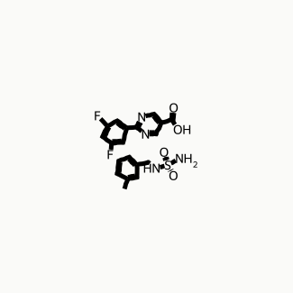 Cc1cccc(CNS(N)(=O)=O)c1.O=C(O)c1cnc(-c2cc(F)cc(F)c2)nc1